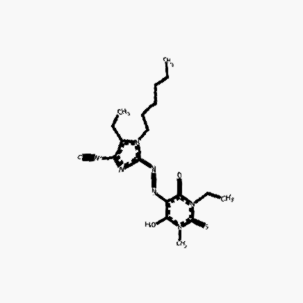 [C-]#[N+]c1nc(N=Nc2c(O)n(C)c(=S)n(CC)c2=O)n(CCCCCC)c1CC